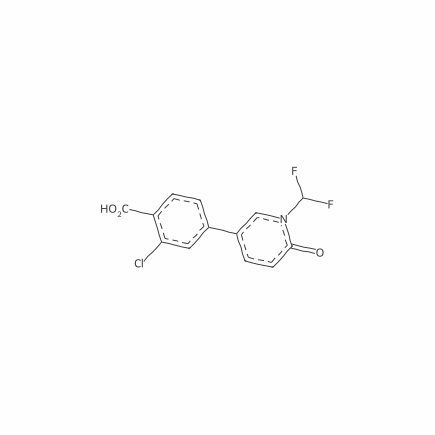 O=C(O)c1ccc(-c2ccc(=O)n(C(F)F)c2)cc1Cl